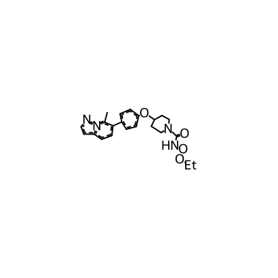 CCOONC(=O)N1CCC(Oc2ccc(-c3ccc4ccnn4c3C)cc2)CC1